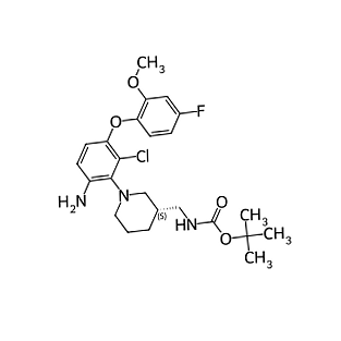 COc1cc(F)ccc1Oc1ccc(N)c(N2CCC[C@@H](CNC(=O)OC(C)(C)C)C2)c1Cl